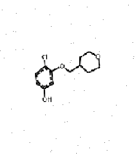 Oc1ccc(Cl)c(OCC2CCOCC2)c1